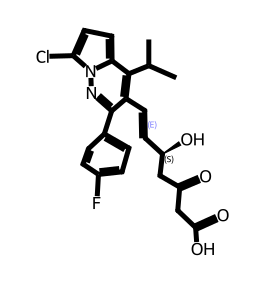 CC(C)c1c(/C=C/[C@@H](O)CC(=O)CC(=O)O)c(-c2ccc(F)cc2)nn2c(Cl)ccc12